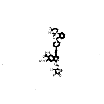 CC[C@@H]1[C@H](F)C(=O)N[C@@H]1COc1ncc(C#CC2CCN(Cc3ccccc3N3CCC(=O)NC3=O)CC2)c2cc(C(N)=O)c(OC)cc12